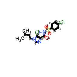 CC(C)CCn1cnc(C(=O)NS(=O)(=O)c2ccc(Cl)cc2)c1Cl